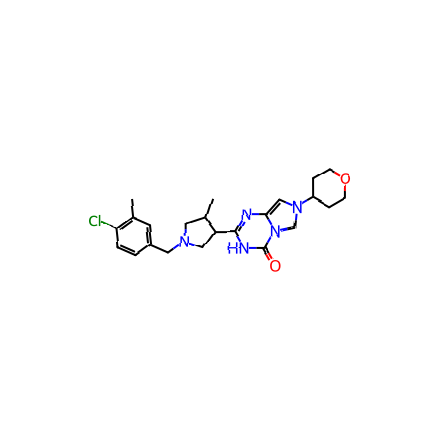 Cc1cc(CN2CC(C)C(C3=NC4=CN(C5CCOCC5)CN4C(=O)N3)C2)ccc1Cl